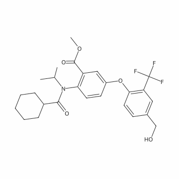 COC(=O)c1cc(Oc2ccc(CO)cc2C(F)(F)F)ccc1N(C(=O)C1CCCCC1)C(C)C